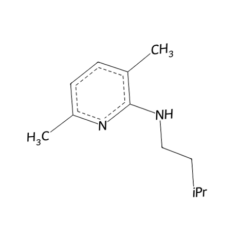 Cc1ccc(C)c(NCCC(C)C)n1